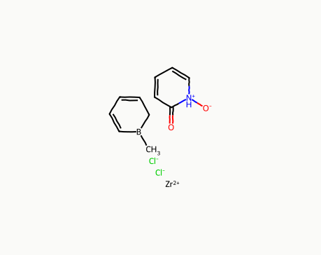 CB1C=CC=CC1.O=C1C=CC=C[NH+]1[O-].[Cl-].[Cl-].[Zr+2]